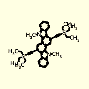 CC[Si](C#Cc1cc2c(cc(C#C[Si](CC)(CC)CC)c3c4ccccc4n(C)c23)c2c1c1ccccc1n2C)(CC)CC